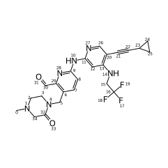 CN1CCN(Cc2ccc(Nc3cc(NCC(F)(F)F)c(C#CC4CC4)cn3)nc2C=O)C(=O)C1